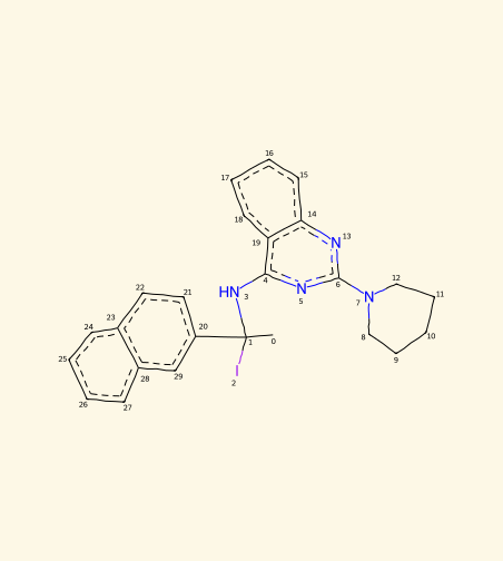 CC(I)(Nc1nc(N2CCCCC2)nc2ccccc12)c1ccc2ccccc2c1